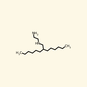 CCCCCCC(CCCCCC)CNCCN